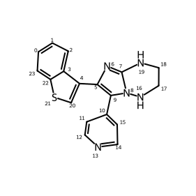 c1ccc2c(-c3nc4n(c3-c3ccncc3)NCCN4)csc2c1